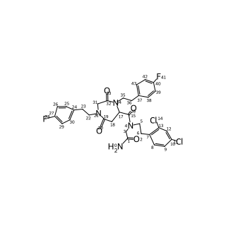 NC(=O)CN(CCc1ccc(Cl)cc1Cl)C(=O)C1CC(=O)N(CCc2ccc(F)cc2)CC(=O)N1CCc1ccc(F)cc1